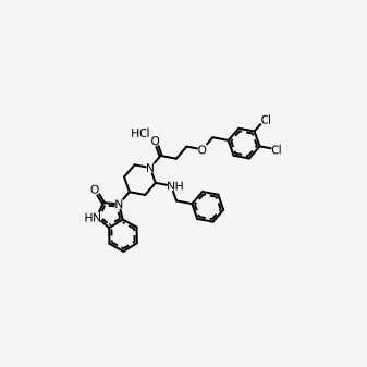 Cl.O=C(CCOCc1ccc(Cl)c(Cl)c1)N1CCC(n2c(=O)[nH]c3ccccc32)CC1NCc1ccccc1